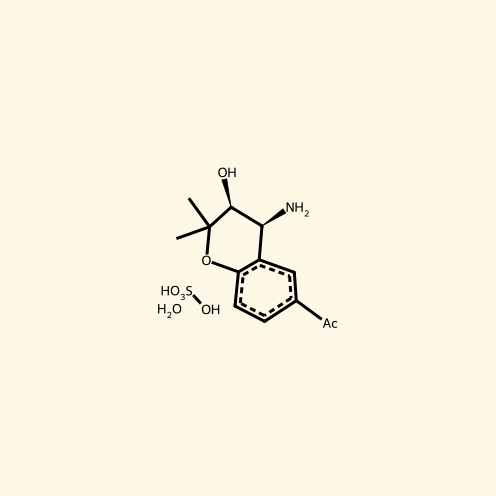 CC(=O)c1ccc2c(c1)[C@H](N)[C@H](O)C(C)(C)O2.O.O=S(=O)(O)O